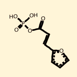 O=C(/C=C/c1ccco1)OP(=O)(O)O